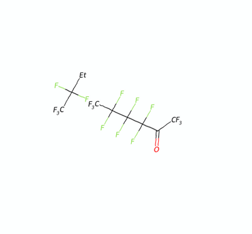 CCC(F)(F)C(F)(F)F.O=C(C(F)(F)F)C(F)(F)C(F)(F)C(F)(F)C(F)(F)F